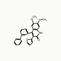 COc1cc2[nH]c(=O)c(-c3cccs3)c(-c3cccc(-c4ccccc4)c3)c2cc1OC